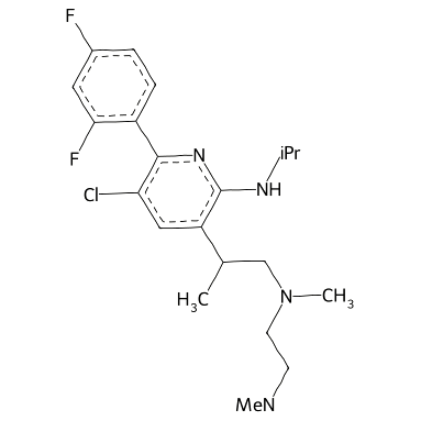 CNCCN(C)CC(C)c1cc(Cl)c(-c2ccc(F)cc2F)nc1NC(C)C